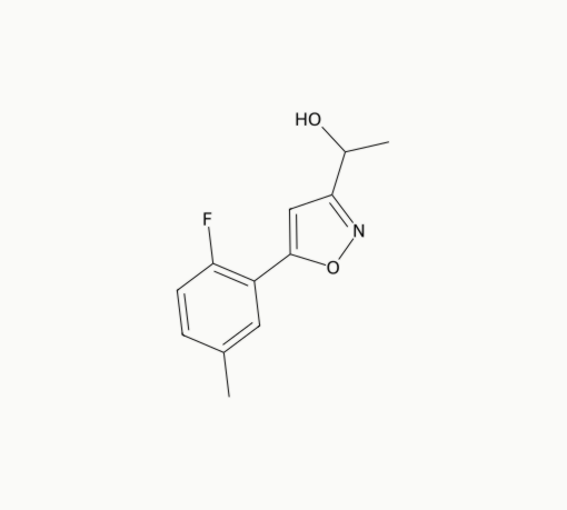 Cc1ccc(F)c(-c2cc(C(C)O)no2)c1